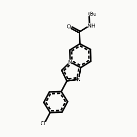 CC(C)(C)NC(=O)c1ccc2nc(-c3ccc(Cl)cc3)cn2c1